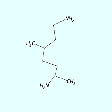 CC(N)CCC(C)CCN